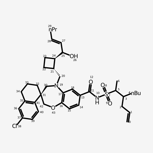 C=CCC(CCCC)C(C)S(=O)(=O)NC(=O)c1ccc2c(c1)N(C[C@@H]1CC[C@H]1C(O)/C=C/CCC)C[C@@]1(CCCc3cc(Cl)ccc31)CO2